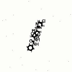 O=C(NC1CCCCC1)N[C@H]1CO[C@H]2[C@@H]1OC[C@@H]2Sc1ncc(Cl)cn1